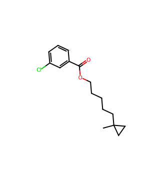 CC1(CCCCCOC(=O)c2[c]ccc(Cl)c2)CC1